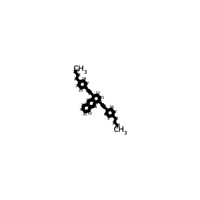 CCCCc1ccc(C#Cc2ccc(C#Cc3ccc(CCCC)cc3)c3cc4ccccc4cc23)cc1